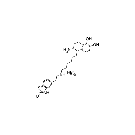 Br.Br.NC1CCc2c(ccc(O)c2O)C1CCCCCCNCCc1ccc2sc(=O)[nH]c2c1